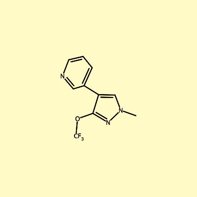 Cn1cc(-c2cccnc2)c(OC(F)(F)F)n1